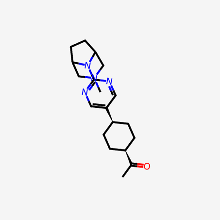 CC(=O)[C@H]1CC[C@@H](c2cnc(N3C4CCC3CN(C)C4)nc2)CC1